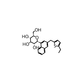 CCc1ccc(Cc2cc([C@@H]3O[C@H](CO)[C@@H](O)[C@H](O)[C@H]3O)c3ccccc3c2)s1